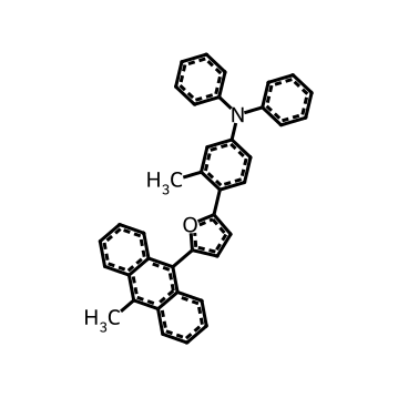 Cc1cc(N(c2ccccc2)c2ccccc2)ccc1-c1ccc(-c2c3ccccc3c(C)c3ccccc23)o1